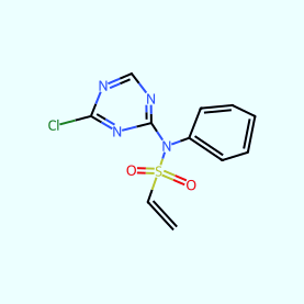 C=CS(=O)(=O)N(c1ccccc1)c1ncnc(Cl)n1